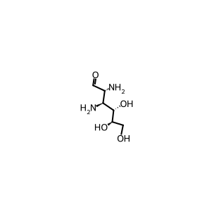 N[C@H]([C@H](O)[C@H](O)CO)[C@@H](N)C=O